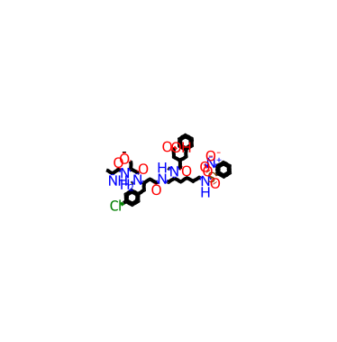 COCC(NC(=O)C(C)N)C(=O)N(C)C(CC(=O)NCC(CCCCNS(=O)(=O)c1ccccc1[N+](=O)[O-])N(C)C(=O)C(CC(=O)O)Cc1ccccc1)Cc1ccc(Cl)cc1